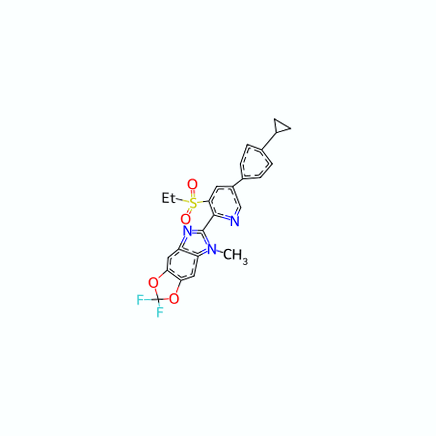 CCS(=O)(=O)c1cc(-c2ccc(C3CC3)cc2)cnc1-c1nc2cc3c(cc2n1C)OC(F)(F)O3